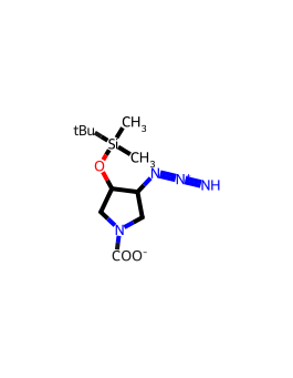 CC(C)(C)[Si](C)(C)OC1CN(C(=O)[O-])CC1N=[N+]=N